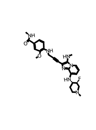 CNC(=O)c1ccc(NCC#Cc2nc3c(N[C@@H]4CCN(C)C[C@@H]4F)cccn3c2NC)c(OC)c1